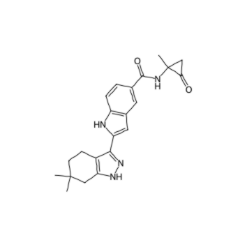 CC1(C)CCc2c(-c3cc4cc(C(=O)NC5(C)CC5=O)ccc4[nH]3)n[nH]c2C1